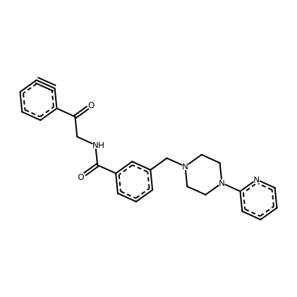 O=C(CNC(=O)c1cccc(CN2CCN(c3ccccn3)CC2)c1)c1c#cccc1